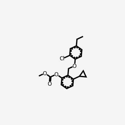 CCc1ccc(OCc2c(OC(=O)OC)cccc2C2CC2)c(Cl)c1